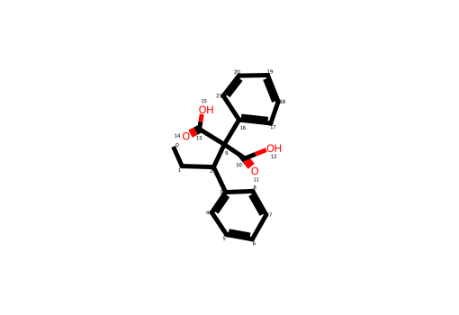 CCC(c1ccccc1)C(C(=O)O)(C(=O)O)c1ccccc1